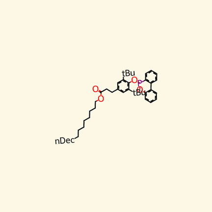 CCCCCCCCCCCCCCCCCCOC(=O)CCc1cc(C(C)(C)C)c(OP2Oc3ccccc3-c3ccccc32)c(C(C)(C)C)c1